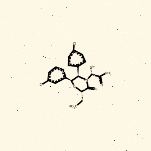 CCC[C@H](C(N)=O)N1C(=O)[C@H](CC(=O)O)O[C@@H](c2cccc(Cl)c2)[C@H]1c1ccc(Cl)cc1